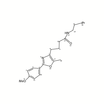 COc1ccc(-c2nc(CCCC(=O)NCCC(C)C)c(C)o2)cc1